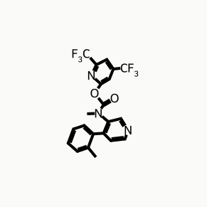 Cc1ccccc1-c1ccncc1N(C)C(=O)Oc1cc(C(F)(F)F)cc(C(F)(F)F)n1